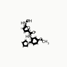 COc1ccc(N2CCCC2)c(NC(=O)c2ccc(NO)o2)c1